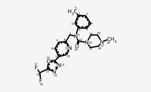 Cc1cccc(N(Cc2ccc(-c3nnc(C(F)F)o3)cn2)C(=O)N2CCN(C)CC2)c1